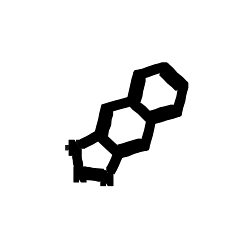 c1ccc2cc3c(cc2c1)[N]N=N3